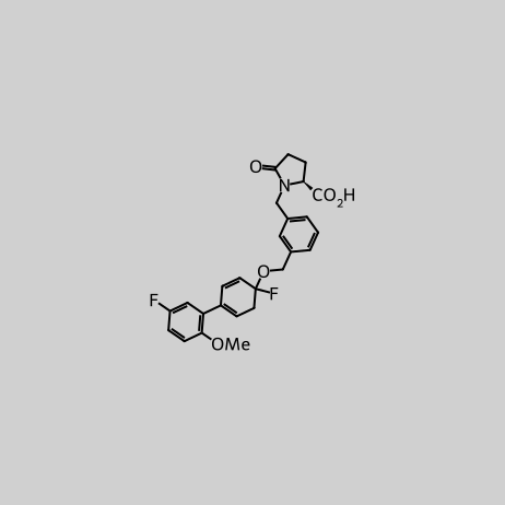 COc1ccc(F)cc1C1=CCC(F)(OCc2cccc(CN3C(=O)CC[C@H]3C(=O)O)c2)C=C1